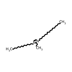 CCCCCCCCCCCCCCCCCC[n+]1ccn(CCCCCCCCCCCCCC)c1CCC